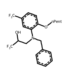 CCCCCOc1ccc(C(F)(F)F)cc1N(Cc1ccccc1)CC(O)C(F)(F)F